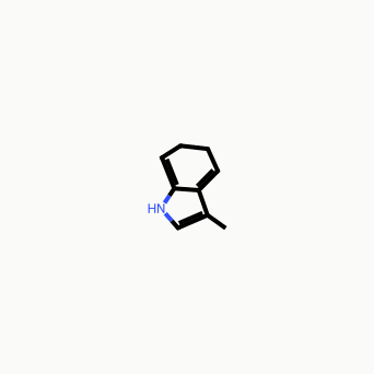 Cc1c[nH]c2c1=CCCC=2